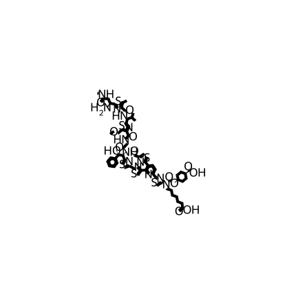 CNC(=O)C[C@H](N)c1nc(C(=O)NC(c2nc(C(=O)NCC(=O)N[C@H](c3nc(-c4nc(-c5nc(-c6nc(N(CCCCCCC(=O)O)C(=O)O[C@H]7CC[C@H](C(=O)O)CC7)cs6)ccc5-c5nc(C=O)cs5)cs4)cs3)[C@@H](O)c3ccccc3)c(COC)s2)C(C)C)c(C)s1